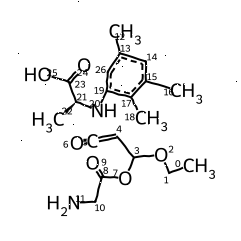 CCOC(C=C=O)OC(=O)CN.Cc1cc(C)c(C)c(N[C@@H](C)C(=O)O)c1